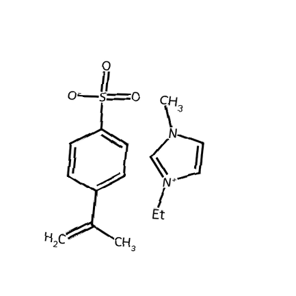 C=C(C)c1ccc(S(=O)(=O)[O-])cc1.CC[n+]1ccn(C)c1